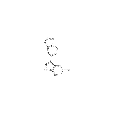 Clc1cnc2[nH]cc(-c3cnc4nccn4c3)c2c1